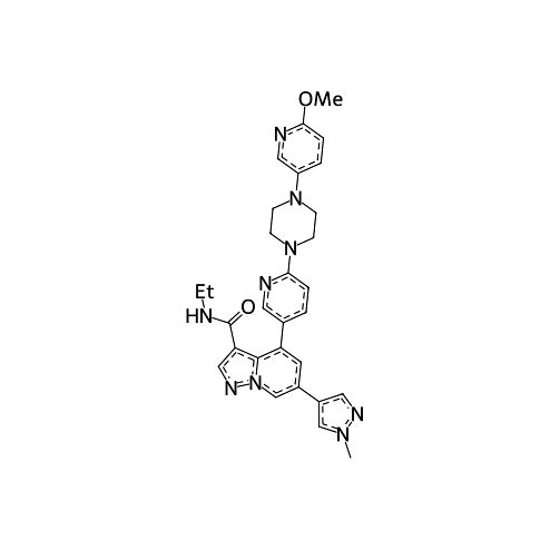 CCNC(=O)c1cnn2cc(-c3cnn(C)c3)cc(-c3ccc(N4CCN(c5ccc(OC)nc5)CC4)nc3)c12